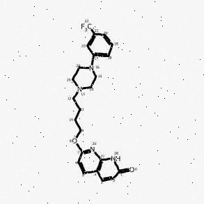 O=c1ccc2ccc(OCCCCN3CCN(c4cccc(C(F)(F)F)c4)CC3)nc2[nH]1